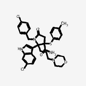 Cc1ccc(SC2(C(N)=O)CC(=O)N(Cc3ccc(Cl)cc3)C2(CCCN2CCOCC2)c2c[nH]c3cc(Cl)ccc23)cc1